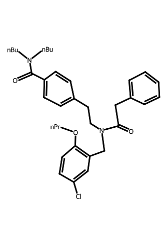 CCCCN(CCCC)C(=O)c1ccc(CCN(Cc2cc(Cl)ccc2OCCC)C(=O)Cc2ccccc2)cc1